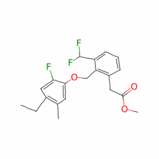 CCc1cc(F)c(OCc2c(CC(=O)OC)cccc2C(F)F)cc1C